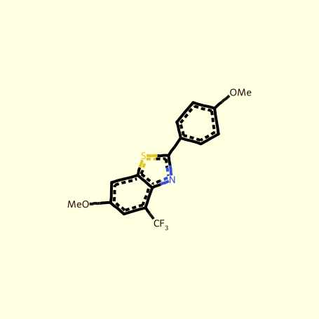 COc1ccc(-c2nc3c(C(F)(F)F)cc(OC)cc3s2)cc1